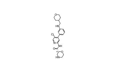 O=C(Nc1cc(-c2cccc(NCC3CCOCC3)c2)c(Cl)cn1)[C@H]1CNCCO1